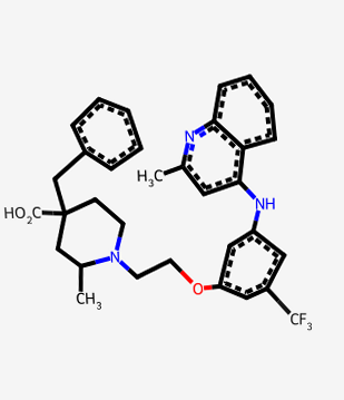 Cc1cc(Nc2cc(OCCN3CCC(Cc4ccccc4)(C(=O)O)CC3C)cc(C(F)(F)F)c2)c2ccccc2n1